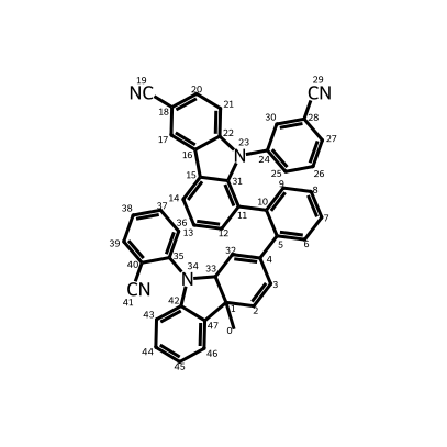 CC12C=CC(c3ccccc3-c3cccc4c5cc(C#N)ccc5n(-c5cccc(C#N)c5)c34)=CC1N(c1ccccc1C#N)c1ccccc12